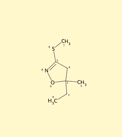 CCC1(C)CC(SC)=NO1